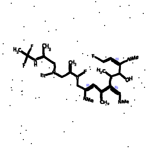 C=C(CN(CC)CC(C)NC(C)(F)F)N(F)C/C(=C/C(C)/C(=C\NC)C(C)C(O)/C(=C\CF)NC)NC